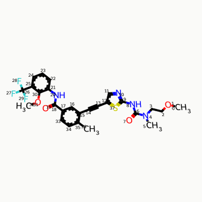 COCCN(C)C(=O)Nc1ncc(C#Cc2cc(C(=O)Nc3cccc(C(F)(F)F)c3OC)ccc2C)s1